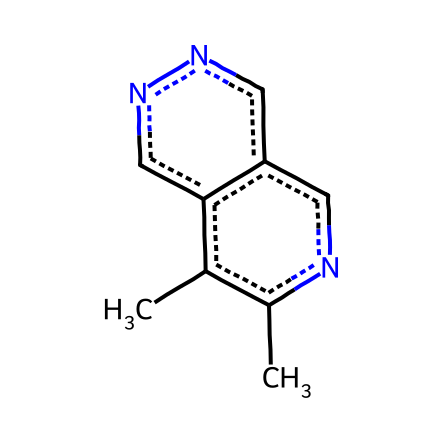 Cc1ncc2cnncc2c1C